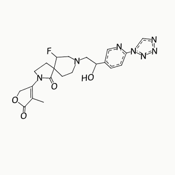 CC1=C(N2CCC3(CCN(CC(O)c4ccc(-n5cnnn5)nc4)CC3F)C2=O)COC1=O